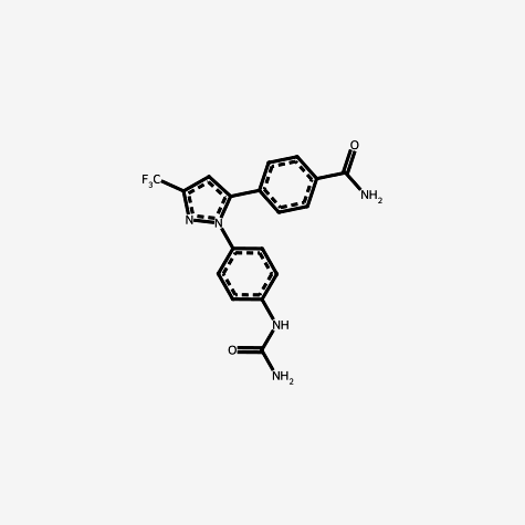 NC(=O)Nc1ccc(-n2nc(C(F)(F)F)cc2-c2ccc(C(N)=O)cc2)cc1